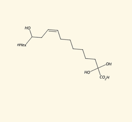 CCCCCCC(O)C/C=C\CCCCCCC(O)(O)C(=O)O